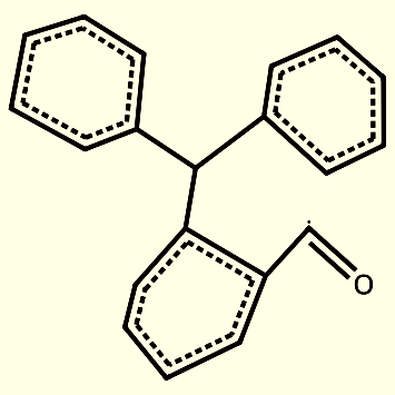 O=[C]c1ccccc1C(c1ccccc1)c1ccccc1